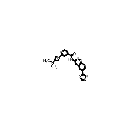 CN(C)C1CN(c2cc(C(=O)Nc3cc4cc(-c5nncs5)ccc4nn3)ccn2)C1